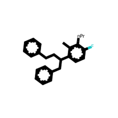 CCCc1c(F)ccc([C](CCc2ccccc2)Cc2ccccc2)c1C